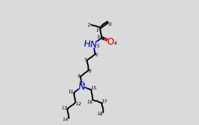 C=C(C)C(=O)NCCCCN(CCCC)CCCC